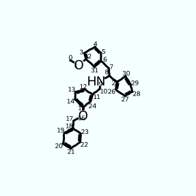 COc1cccc(CC(NCc2cccc(OCc3ccccc3)c2)c2ccccc2)c1